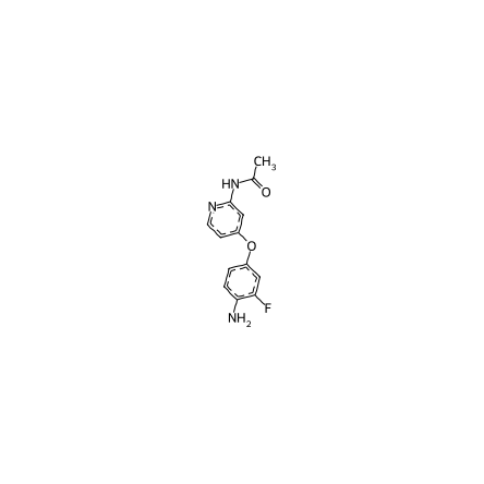 CC(=O)Nc1cc(Oc2ccc(N)c(F)c2)ccn1